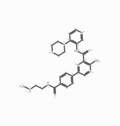 BNCCNC(=O)c1ccc(-c2cnc(N)c(C(=O)Nc3cnccc3N3CCOCC3)n2)cc1